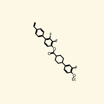 C=Cc1ccc(-c2ccc(OC(=O)C3CCC(c4ccc(OCC)c(F)c4)CC3)c(F)c2F)cc1